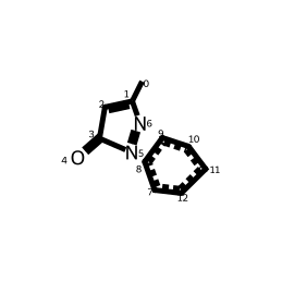 CC1=CC(=O)N=N1.c1ccccc1